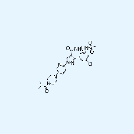 CC(C)C(=O)N1CCN(c2ccc(-n3cc(C(N)=O)c(-c4cc(Cl)cc(NS(C)(=O)=O)c4)n3)nc2)CC1